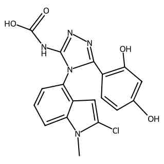 Cn1c(Cl)cc2c(-n3c(NC(=O)O)nnc3-c3ccc(O)cc3O)cccc21